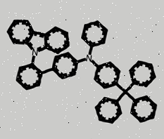 c1ccc(N(c2ccc(-c3ccccc3-n3c4ccccc4c4ccccc43)cc2)c2ccc(C(c3ccccc3)(c3ccccc3)c3ccccc3)cc2)cc1